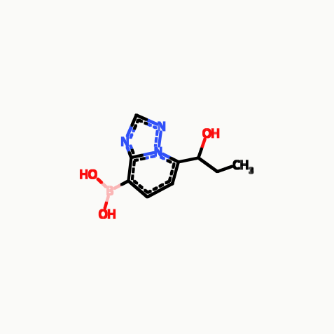 CCC(O)c1ccc(B(O)O)c2ncnn12